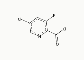 O=C(Cl)c1ncc(Cl)cc1F